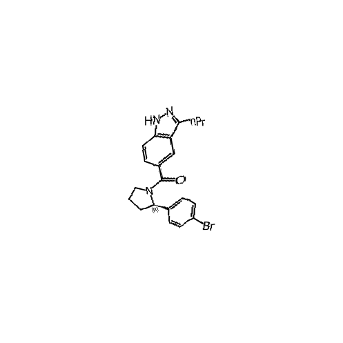 CCCc1n[nH]c2ccc(C(=O)N3CCC[C@@H]3c3ccc(Br)cc3)cc12